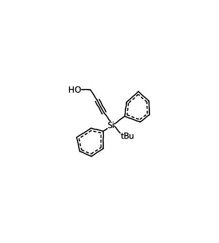 CC(C)(C)[Si](C#CCO)(c1ccccc1)c1ccccc1